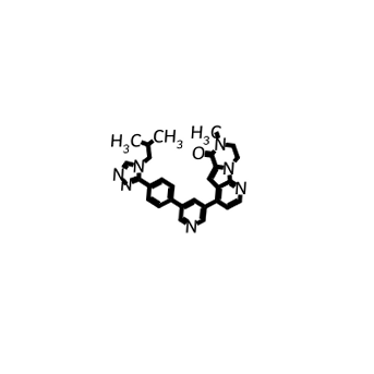 CC(C)Cn1cnnc1-c1ccc(-c2cncc(-c3ccnc4c3cc3n4CCN(C)C3=O)c2)cc1